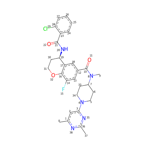 Cc1cc(N2CCC(N(C)C(=O)c3cc(F)c4c(c3)[C@H](NC(=O)c3ccccc3Cl)CCO4)CC2)nc(C)n1